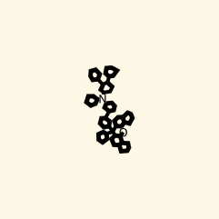 C1=C(c2ccccc2)C(c2ccccc2)=CC(N(c2ccccc2)c2cccc(-c3cccc(C4(c5ccccc5)c5ccc6ccccc6c5Oc5c4ccc4ccccc54)c3)c2)C1